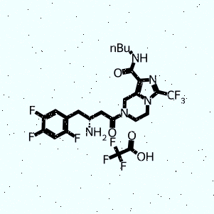 CCCCNC(=O)c1nc(C(F)(F)F)n2c1CN(C(=O)C[C@H](N)Cc1cc(F)c(F)cc1F)CC2.O=C(O)C(F)(F)F